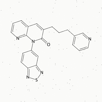 O=c1c(CCCc2cccnc2)cc2cccnc2n1-c1ccc2nsnc2c1